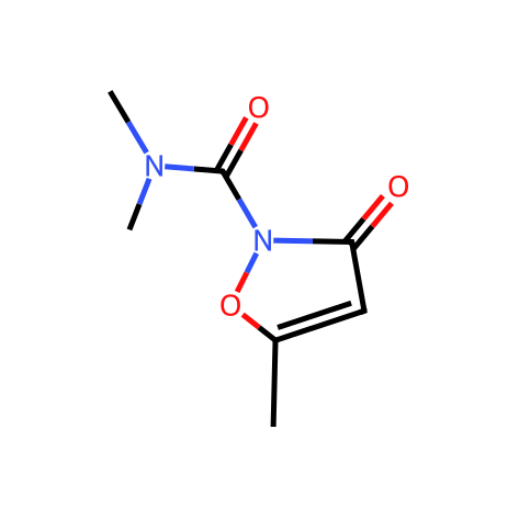 Cc1cc(=O)n(C(=O)N(C)C)o1